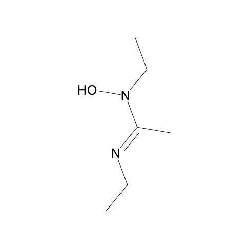 CC/N=C(\C)N(O)CC